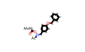 CNC(=O)ON(Cc1ccc(OCc2ccccc2)cc1)C(C)=O